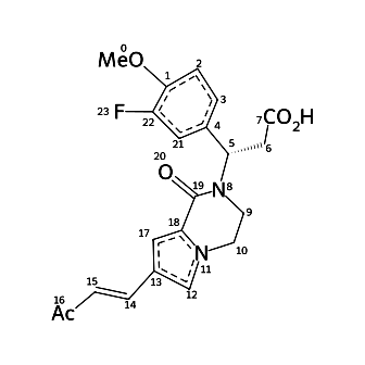 COc1ccc([C@H](CC(=O)O)N2CCn3cc(/C=C/C(C)=O)cc3C2=O)cc1F